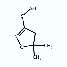 CC1(C)CC(SS)=NO1